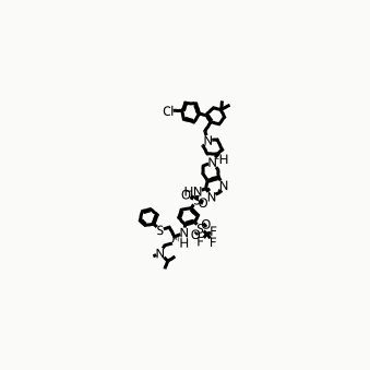 [2H]C1(N2CCc3c(ncnc3NS(=O)(=O)c3ccc(N[C@H](CCN(C)C(C)C)CSc4ccccc4)c(S(=O)(=O)C(F)(F)F)c3)C2)CCN(CC2=C(c3ccc(Cl)cc3)CC(C)(C)CC2)CC1